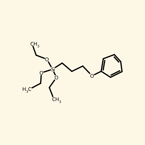 CCO[Si](CCCOc1ccccc1)(OCC)OCC